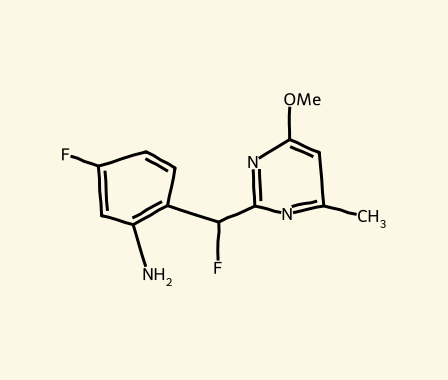 COc1cc(C)nc(C(F)c2ccc(F)cc2N)n1